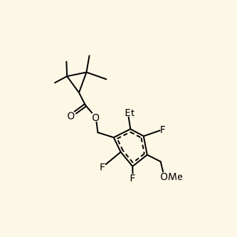 CCc1c(F)c(COC)c(F)c(F)c1COC(=O)C1C(C)(C)C1(C)C